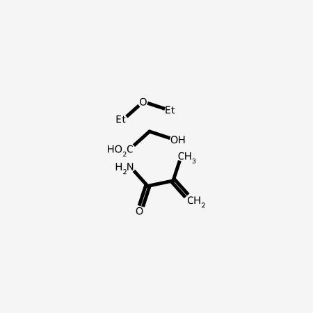 C=C(C)C(N)=O.CCOCC.O=C(O)CO